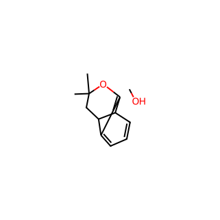 CC1(C)CC2C3=CC=CC2=C3O1.CO